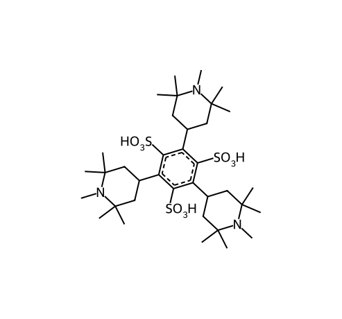 CN1C(C)(C)CC(c2c(S(=O)(=O)O)c(C3CC(C)(C)N(C)C(C)(C)C3)c(S(=O)(=O)O)c(C3CC(C)(C)N(C)C(C)(C)C3)c2S(=O)(=O)O)CC1(C)C